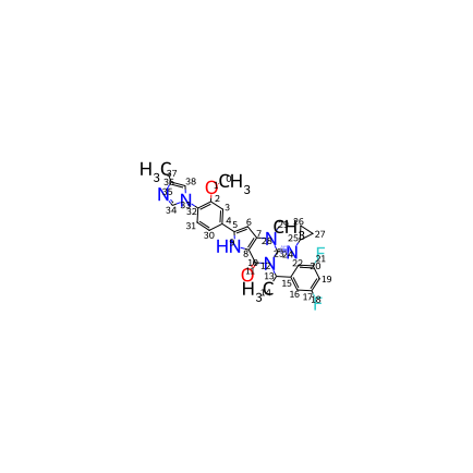 COc1cc(-c2cc3c([nH]2)c(=O)n(C(C)c2cc(F)cc(F)c2)/c(=N/C2CC2)n3C)ccc1-n1cnc(C)c1